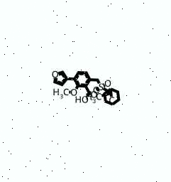 COc1c(-c2ccoc2)ccc(CS(=O)(=O)C2(C)CC3CCC2CC3)c1C(=O)O